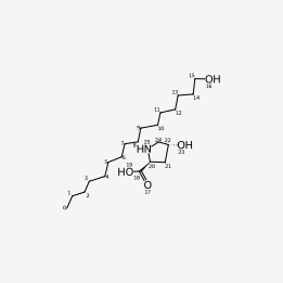 CCCCCCCCCCCCCCCCO.O=C(O)[C@@H]1C[C@@H](O)CN1